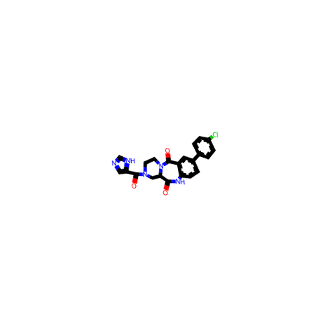 O=C1Nc2ccc(-c3ccc(Cl)cc3)cc2C(=O)N2CCN(C(=O)c3cnc[nH]3)CC12